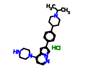 CC(C)N1CCC(c2ccc(-c3cc4c(N5CCNCC5)ccnn4c3)cc2)CC1.Cl